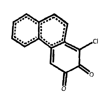 O=C1C=c2c(ccc3ccccc23)=C(Cl)C1=O